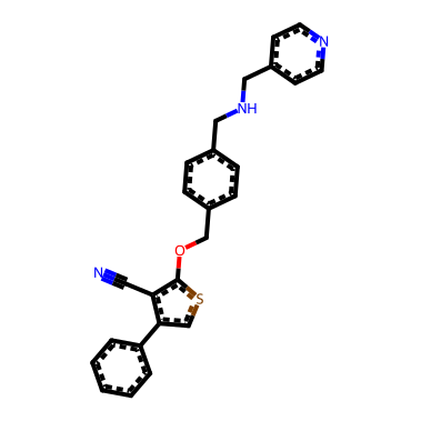 N#Cc1c(-c2ccccc2)csc1OCc1ccc(CNCc2ccncc2)cc1